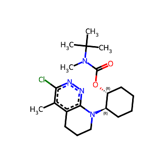 Cc1c(Cl)nnc2c1CCCN2[C@@H]1CCCC[C@H]1OC(=O)N(C)C(C)(C)C